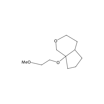 COCCOC12CCCC1CCOC2